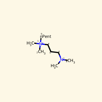 CCCCC[N+](C)(C)CCCN(C)C